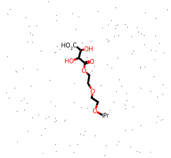 CC(C)OCCOCCOC(=O)C(O)C(O)C(=O)O